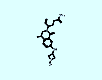 C=CC(CCC(=C)NC)N1CC(C)c2ccc(NC3CB(C#N)C3)cc2C1=C